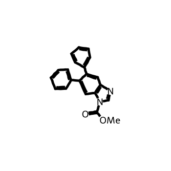 COC(=O)n1cnc2cc(-c3ccccc3)c(-c3ccccc3)cc21